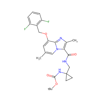 Cc1cc(OCc2c(F)cccc2F)c2nc(C)c(C(=O)NCC3(NC(=O)OC(C)(C)C)CC3)n2c1